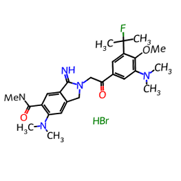 Br.CNC(=O)c1cc2c(cc1N(C)C)CN(CC(=O)c1cc(N(C)C)c(OC)c(C(C)(C)F)c1)C2=N